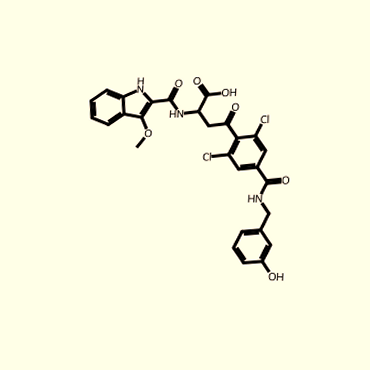 COc1c(C(=O)NC(CC(=O)c2c(Cl)cc(C(=O)NCc3cccc(O)c3)cc2Cl)C(=O)O)[nH]c2ccccc12